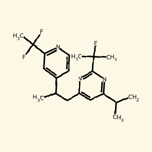 CC(C)c1cc(CC(C)c2ccnc(C(C)(F)F)c2)nc(C(C)(C)F)n1